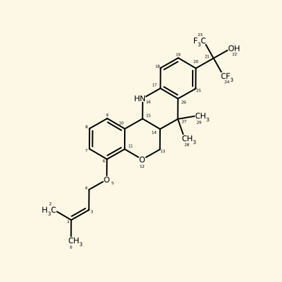 CC(C)=CCOc1cccc2c1OCC1C2Nc2ccc(C(O)(C(F)(F)F)C(F)(F)F)cc2C1(C)C